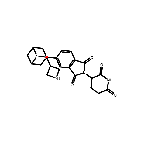 O=C1CCC(N2C(=O)c3ccc(N4CC5CC(C4)N5CC4CNC4)cc3C2=O)C(=O)N1